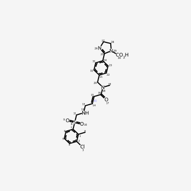 Cc1c(Cl)cccc1S(=O)(=O)CNC/C=C/C(=O)N(C)Cc1ccc(C2=NCCN2C(=O)O)cc1